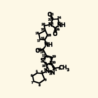 Cc1nn(C2CCCCC2)c2sc(C(=O)NC3CCC(CN4C(=O)CNC4=O)C3)cc12